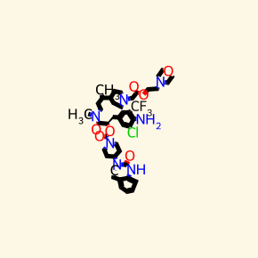 CC(CCN(C)C(=O)[C@@H](Cc1cc(Cl)c(N)c(C(F)(F)F)c1)OC(=O)N1CCC(N2CCc3ccccc3NC2=O)CC1)C1CCN(CC(=O)OCCN2CCOCC2)CC1